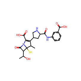 CC(O)C1C(=O)N2C(C(=O)O)=C(C3CNC(C(=O)Nc4cccc(C(=O)O)c4)C3)C(C)C12S